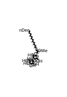 CCCCCCCCCCCCCCCCCCCCCCSCC(CO[C@@H]1OC(CO)[C@@H](O[C@@H]2OC(CO)[C@H](O)[C@H](O)C2O)[C@H](O)C1O)OC